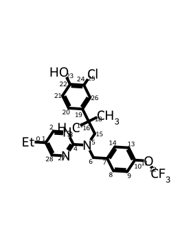 CCc1cnc(N(Cc2ccc(OC(F)(F)F)cc2)CC(C)(C)c2ccc(O)c(Cl)c2)nc1